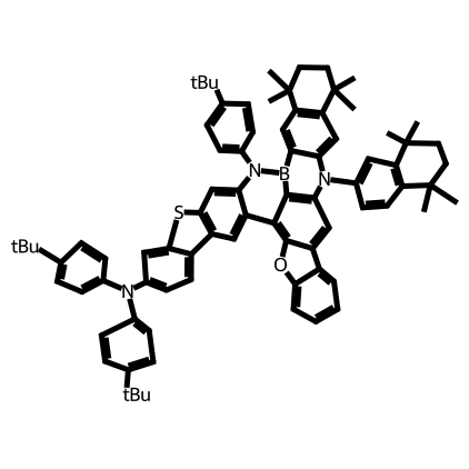 CC(C)(C)c1ccc(N2B3c4cc5c(cc4N(c4ccc6c(c4)C(C)(C)CCC6(C)C)c4cc6c(oc7ccccc76)c(c43)-c3cc4c(cc32)sc2cc(N(c3ccc(C(C)(C)C)cc3)c3ccc(C(C)(C)C)cc3)ccc24)C(C)(C)CCC5(C)C)cc1